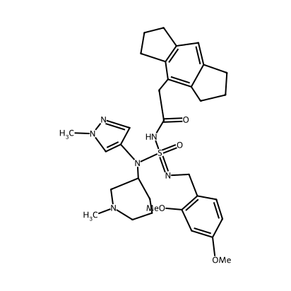 COc1ccc(CN=S(=O)(NC(=O)Cc2c3c(cc4c2CCC4)CCC3)N(c2cnn(C)c2)C2CCCN(C)C2)c(OC)c1